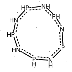 n1p[nH][pH][nH][pH][nH][pH][nH][pH]1